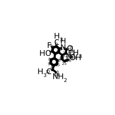 Cc1c(F)c(O)c(-c2ccc(C(C)CN)cc2)c2c1NC(=O)C1C2=CC=C[N@+]1(C)O